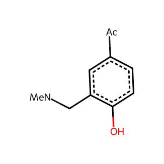 CNCc1cc(C(C)=O)ccc1O